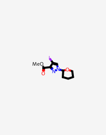 COC(=O)c1nn(C2CCCCO2)cc1I